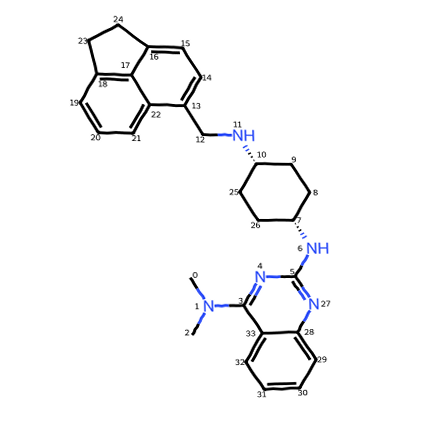 CN(C)c1nc(N[C@H]2CC[C@@H](NCc3ccc4c5c(cccc35)CC4)CC2)nc2ccccc12